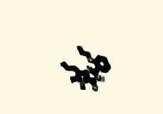 CCCOc1ccccc1-c1nc2c(CCC)c(I)n(C)c2c(=O)[nH]1